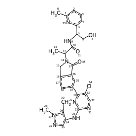 Cc1cccc(C(CO)NC(=O)C(C)N2Cc3ccc(-c4nc(Nc5cnn(C)c5C)ncc4Cl)cc3C2=O)n1